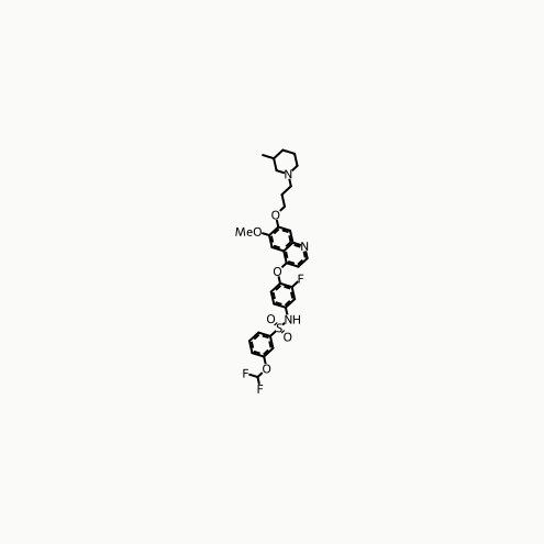 COc1cc2c(Oc3ccc(NS(=O)(=O)c4cccc(OC(F)F)c4)cc3F)ccnc2cc1OCCCN1CCCC(C)C1